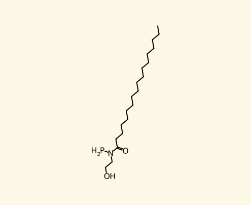 CCCCCCCCCCCCCCCCCC(=O)N(P)CCO